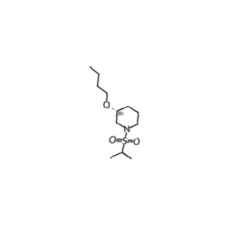 CCCCO[C@@H]1CCCN(S(=O)(=O)C(C)C)C1